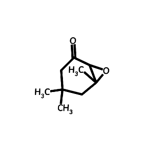 CC1(C)CC(=O)C2OC2(C)C1